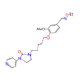 CCON=Cc1ccc(OCCCCCN2CCN(c3ccncc3)C2=O)c(OC)c1